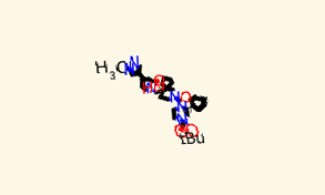 Cn1cc(-c2ccn(C[C@]3(O)CCN(C(=O)N4CCN(C(=O)OC(C)(C)C)C[C@H]4c4ccccc4)CC34CCCC4)c(=O)c2)cn1